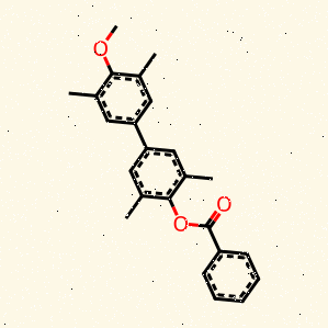 COc1c(C)cc(-c2cc(C)c(OC(=O)c3ccccc3)c(C)c2)cc1C